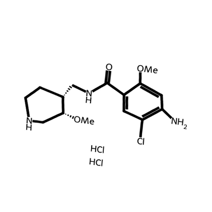 COc1cc(N)c(Cl)cc1C(=O)NC[C@H]1CCNC[C@H]1OC.Cl.Cl